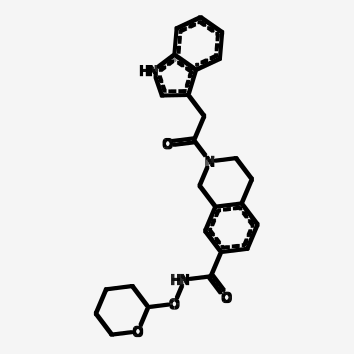 O=C(NOC1CCCCO1)c1ccc2c(c1)CN(C(=O)Cc1c[nH]c3ccccc13)CC2